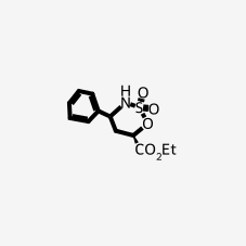 CCOC(=O)[C@H]1CC(c2ccccc2)NS(=O)(=O)O1